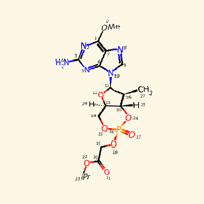 COc1nc(N)nc2c1ncn2[C@@H]1O[C@@H]2CO[P@](=O)(OCC(=O)OC(C)C)O[C@H]2[C@@H]1C